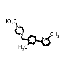 Cc1cccc(-c2ccc(CN3CCN(C(=O)O)CC3)c(C)c2)n1